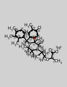 [2H]OC(=O)C(C)OC([2H])([2H])C([2H])(C)N1C([2H])([2H])C([2H])(C)N(C([2H])(c2ccc(Cl)c(C)c2)c2c([2H])cc(C)c(C)c2C)C([2H])(C)C1([2H])[2H]